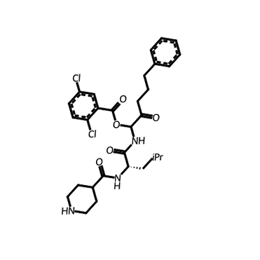 CC(C)C[C@H](NC(=O)C1CCNCC1)C(=O)NC(OC(=O)c1cc(Cl)ccc1Cl)C(=O)CCCc1ccccc1